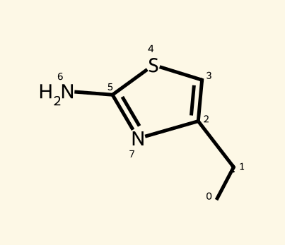 C[CH]c1csc(N)n1